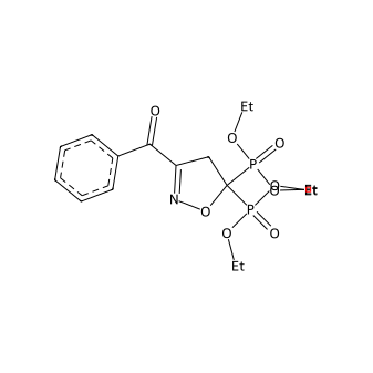 CCOP(=O)(OCC)C1(P(=O)(OCC)OCC)CC(C(=O)c2ccccc2)=NO1